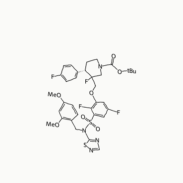 COc1ccc(CN(c2ncns2)S(=O)(=O)c2cc(F)cc(OCC3(F)CN(C(=O)OC(C)(C)C)CC[C@H]3c3ccc(F)cc3)c2F)c(OC)c1